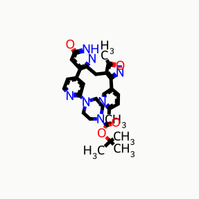 Cc1ccc(-c2noc(C)c2Cc2n[nH]c(=O)cc2-c2ccnc(N3CCN(C(=O)OC(C)(C)C)CC3)c2)cn1